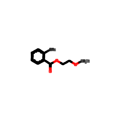 CCOC(=O)OCCOC(=O)c1ccccc1OC(C)=O